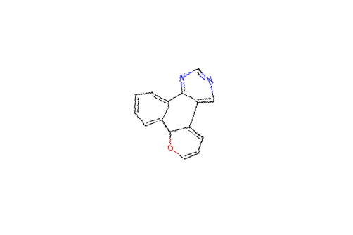 C1=COC2C(=C1)c1cncnc1-c1ccccc12